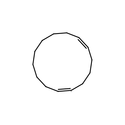 [C]1=CCCCCCCCC=CCCC1